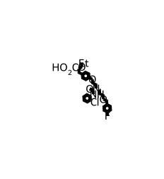 CCOC(Cc1ccc(OCCN(CCCOCc2ccc(F)cc2)C(=O)Nc2ccccc2Cl)cc1)C(=O)O